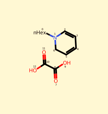 CCCCCCN1C=CC=CC1.O=C(O)C(=O)O